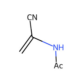 C=C(C#N)NC(C)=O